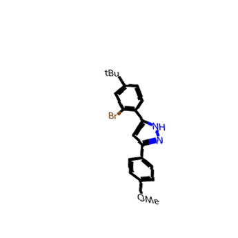 COc1ccc(-c2cc(-c3ccc(C(C)(C)C)cc3Br)[nH]n2)cc1